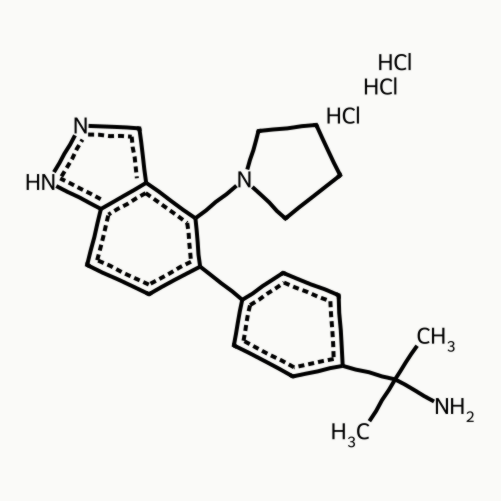 CC(C)(N)c1ccc(-c2ccc3[nH]ncc3c2N2CCCC2)cc1.Cl.Cl.Cl